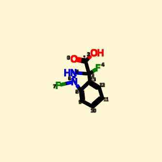 O=C(O)C1(F)NN(F)c2ccccc21